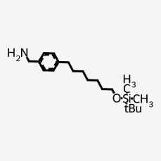 CC(C)(C)[Si](C)(C)OCCCCCCCc1ccc(CN)cc1